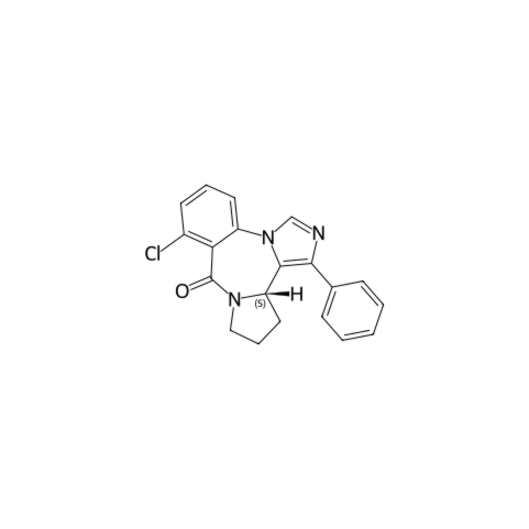 O=C1c2c(Cl)cccc2-n2cnc(-c3ccccc3)c2[C@@H]2CCCN12